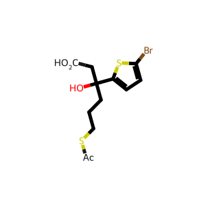 CC(=O)SCCCC(O)(CC(=O)O)c1ccc(Br)s1